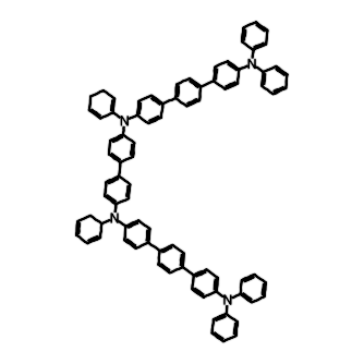 C1=CCC(N(c2ccc(-c3ccc(-c4ccc(N(c5ccccc5)c5ccccc5)cc4)cc3)cc2)c2ccc(-c3ccc(N(C4=CCCC=C4)c4ccc(-c5ccc(-c6ccc(N(c7ccccc7)c7ccccc7)cc6)cc5)cc4)cc3)cc2)C=C1